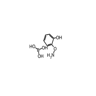 NOc1ccccc1O.OB(O)O